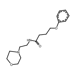 O=C(CCCOc1ccccc1)NCCN1CCOCC1